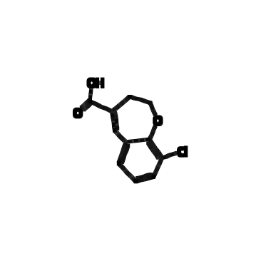 O=C(O)C1=Cc2cccc(Cl)c2OCC1